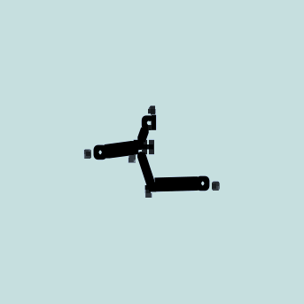 O=[C][PH](=O)Cl